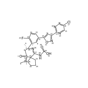 CN=S1(=O)C[C@@](C)(c2cc(-c3cc(-c4ncc(Cl)cn4)no3)ccc2F)N=C(NC(=O)O)C12CCCC2